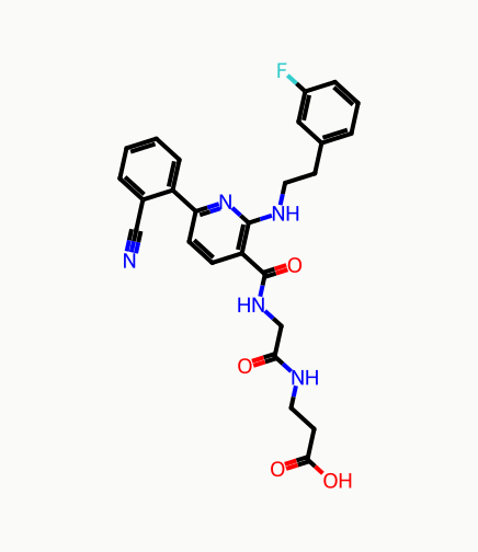 N#Cc1ccccc1-c1ccc(C(=O)NCC(=O)NCCC(=O)O)c(NCCc2cccc(F)c2)n1